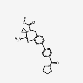 NC1=Nc2cc(-c3ccc(C(=O)N4CCCC4)cc3)ccc2CN(C(=O)OF)C12CC2